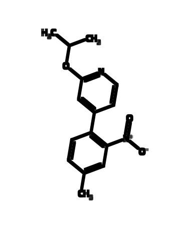 Cc1ccc(-c2ccnc(OC(C)C)c2)c([N+](=O)[O-])c1